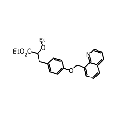 CCOC(=O)C(Cc1ccc(OCc2cccc3cccnc23)cc1)OCC